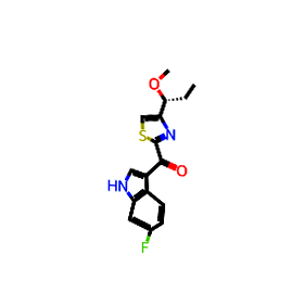 CC[C@@H](OC)c1csc(C(=O)c2c[nH]c3cc(F)ccc23)n1